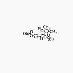 CCOc1c(C)cc(C)c(OC(=O)C(C)(C)C)c1C=CC(=O)c1ccc(OC(=O)C(C)(C)C)cc1